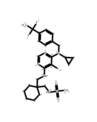 CC(F)(F)c1ccc(CN(c2ncnc(NCC3(CNS(C)(=O)=O)CCCCC3)c2F)C2CC2)cc1